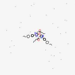 CCCC[C@@H]1O[C@H]1Cc1nc(-c2ccc([C@H]3CC[C@H](CCC)CC3)cc2)ncc1Oc1cnc(-c2ccc([C@H]3CC[C@H](CCC)CC3)cc2)nc1C[C@@H]1O[C@H]1CCCC